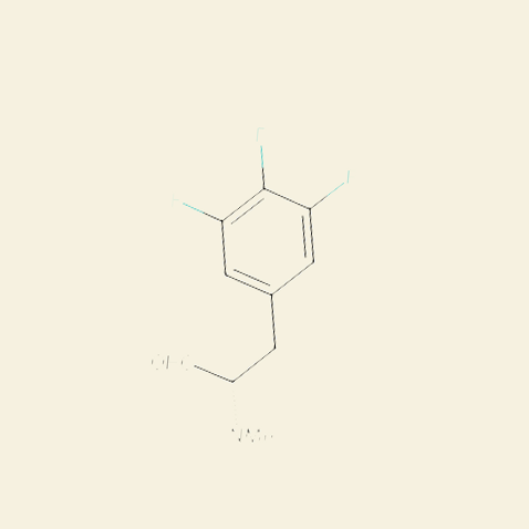 CN[C@H](C=O)Cc1cc(F)c(F)c(F)c1